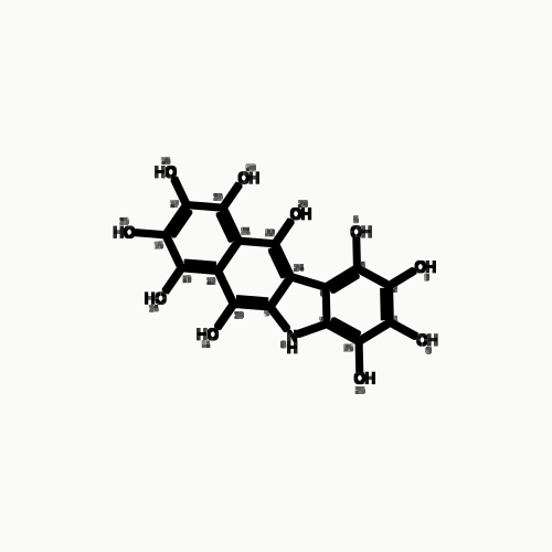 Oc1c(O)c(O)c2c([nH]c3c(O)c4c(O)c(O)c(O)c(O)c4c(O)c32)c1O